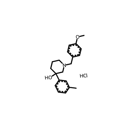 COc1ccc(CN2CCCC(O)(c3cccc(C)c3)C2)cc1.Cl